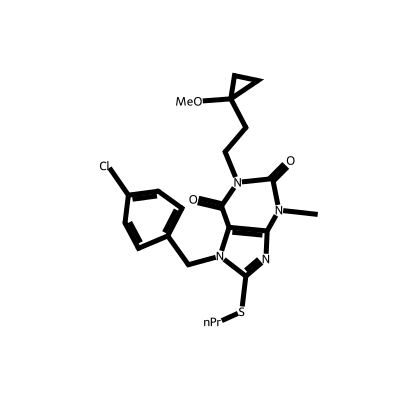 CCCSc1nc2c(c(=O)n(CCC3(OC)CC3)c(=O)n2C)n1Cc1ccc(Cl)cc1